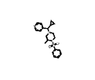 CC1CN(C(c2ccncc2)C2CC2)CCN1S(=O)(=O)c1cc[c]cc1